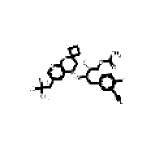 CC(=O)NC[C@@H](O)C(Cc1ccc(F)c(C#N)c1)N[C@H]1CC2(CCC2)Oc2ncc(CC(C)(C)C)cc21